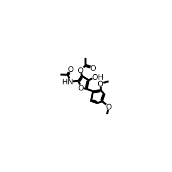 COc1ccc(-c2oc(NC(C)=O)c(OC(C)=O)c2O)c(OC)c1